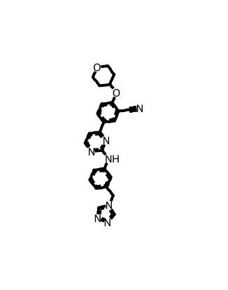 N#Cc1cc(-c2ccnc(Nc3cccc(Cn4cnnc4)c3)n2)ccc1OC1CCOCC1